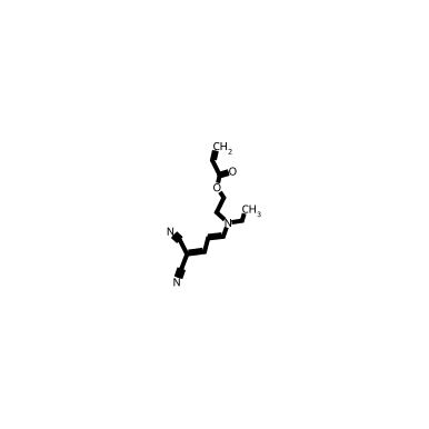 C=CC(=O)OCCN(/C=C/C=C(C#N)C#N)CC